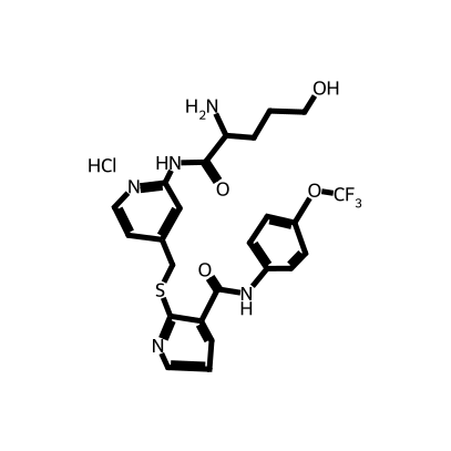 Cl.NC(CCCO)C(=O)Nc1cc(CSc2ncccc2C(=O)Nc2ccc(OC(F)(F)F)cc2)ccn1